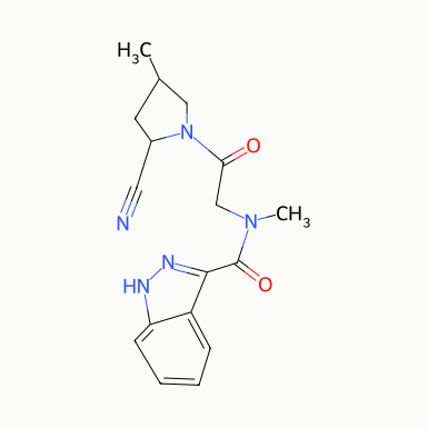 CC1CC(C#N)N(C(=O)CN(C)C(=O)c2n[nH]c3ccccc23)C1